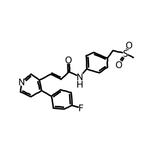 CS(=O)(=O)Cc1ccc(NC(=O)C=Cc2cnccc2-c2ccc(F)cc2)cc1